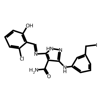 NC(=O)c1c(Nc2cccc(CI)c2)n[nH]c1/N=C/c1c(O)cccc1Cl